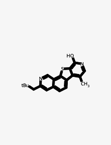 Cc1cnc(O)c2sc3c4cnc(CC(C)(C)C)cc4ccc3c12